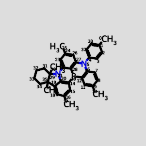 Cc1ccc(N2c3ccc(C)cc3B3c4cc(C)cc5c4N(c4cc(C)cc2c43)C2(C)CCCCC52C)cc1